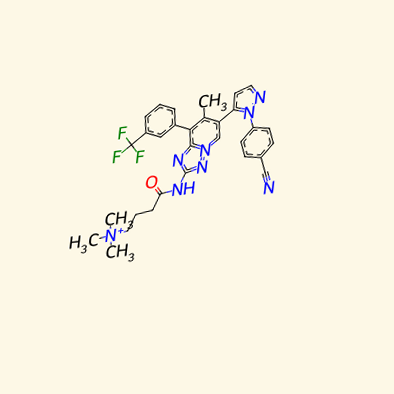 Cc1c(-c2ccnn2-c2ccc(C#N)cc2)cn2nc(NC(=O)CCC[N+](C)(C)C)nc2c1-c1cccc(C(F)(F)F)c1